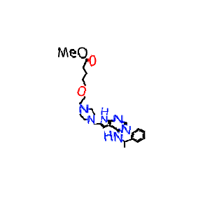 COC(=O)CCCCOCCN1CCN(Cc2cc3c(NC(C)c4ccccc4)ncnc3[nH]2)CC1